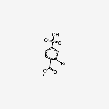 COC(=O)c1ccc(S(=O)(=O)O)cc1Br